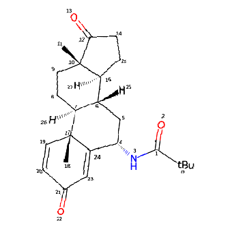 CC(C)(C)C(=O)N[C@H]1C[C@@H]2[C@H](CC[C@]3(C)C(=O)CC[C@@H]23)[C@@]2(C)C=CC(=O)C=C12